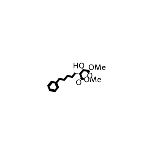 COC(=O)[C@@H](O)[C@@H](CCCCCc1ccccc1)C(=O)OC